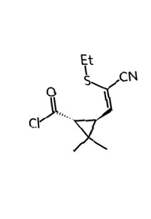 CCS/C(C#N)=C\[C@@H]1[C@@H](C(=O)Cl)C1(C)C